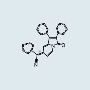 N#C/C(=C1\C=CN2C(=O)C(c3ccccc3)=C(c3ccccc3)C2=C1)c1ccccc1